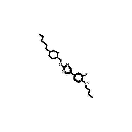 CCCCCC1CCC(COc2ncc(-c3ccc(OCCCC)c(F)c3)cn2)CC1